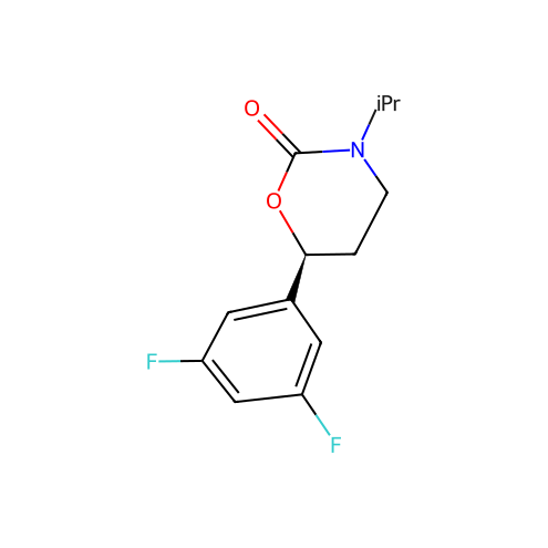 CC(C)N1CC[C@@H](c2cc(F)cc(F)c2)OC1=O